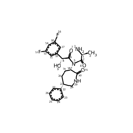 C[C@H](N)C(=O)N(C(=O)[C@H](O)c1cc(F)cc(F)c1)[C@H]1CC[C@@H](c2ccccc2)CNC1=O